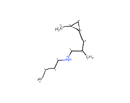 CC(C)CCCNCC(C)CC1CC1C